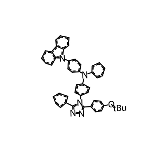 CC(C)(C)Oc1ccc(-c2nnc(-c3ccccc3)n2-c2ccc(N(c3ccccc3)c3ccc(-n4c5ccccc5c5ccccc54)cc3)cc2)cc1